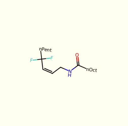 CCCCCCCCC(=O)NC/C=C\C(F)(F)CCCCC